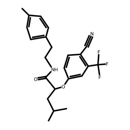 Cc1ccc(CCNC(=O)C(CC(C)C)Oc2ccc(C#N)c(C(F)(F)F)c2)cc1